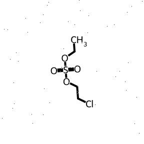 CCOS(=O)(=O)OCCCl